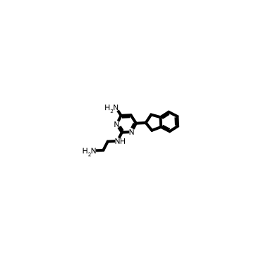 NCCNc1nc(N)cc(C2Cc3ccccc3C2)n1